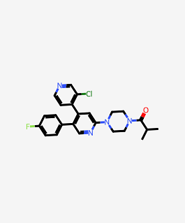 CC(C)C(=O)N1CCN(c2cc(-c3ccncc3Cl)c(-c3ccc(F)cc3)cn2)CC1